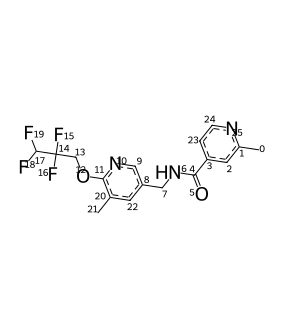 Cc1cc(C(=O)NCc2cnc(OCC(F)(F)C(F)F)c(C)c2)ccn1